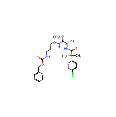 CC(C)(C(=O)N[C@H](C(=O)N[C@H](CCCNC(=O)OCc1ccccc1)C(=O)O)C(C)(C)C)c1ccc(Cl)cc1